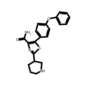 NC(=O)c1nc(C2CCCNC2)sc1-c1ccc(Oc2ccccc2)cc1